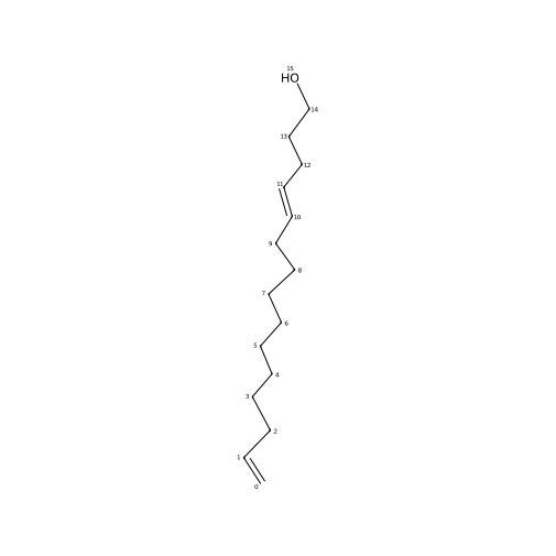 C=CCCCCCCCCC=CCCCO